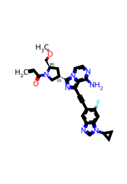 C=CC(=O)N1C[C@@H](c2nc(C#Cc3cc4ncn(C5CC5)c4cc3F)c3c(N)nccn23)C[C@@H]1COC